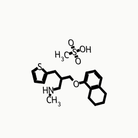 CNCC(COc1cccc2c1CCCC2)Cc1cccs1.CS(=O)(=O)O